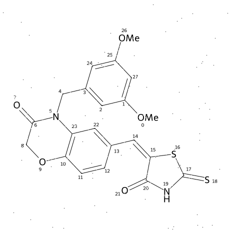 COc1cc(CN2C(=O)COc3ccc(C=C4SC(=S)NC4=O)cc32)cc(OC)c1